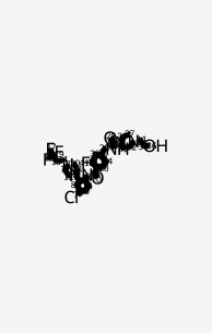 O=C(Nc1ccc(Cl)cc1N1CCN(CCC(F)(F)F)CC1)c1ccc(CNC(=O)N2CCN(CCO)CC2)cc1F